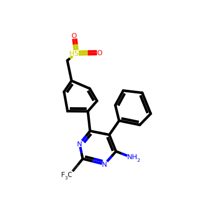 Nc1nc(C(F)(F)F)nc(-c2ccc(C[SH](=O)=O)cc2)c1-c1ccccc1